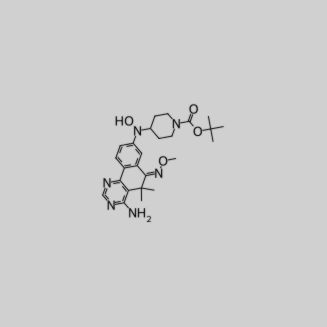 CO/N=C1\c2cc(N(O)C3CCN(C(=O)OC(C)(C)C)CC3)ccc2-c2ncnc(N)c2C1(C)C